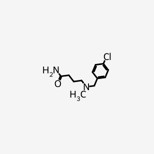 CN(CCCC(N)=O)Cc1ccc(Cl)cc1